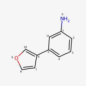 Nc1cccc(-c2ccoc2)c1